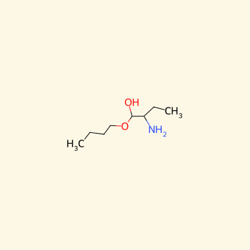 CCCCOC(O)C(N)CC